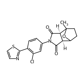 CC12CCC(O1)[C@H]1C(=O)N(c3ccc(-c4nccs4)c(Cl)c3)C(=O)[C@H]12